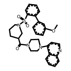 COc1cccc(-c2ccccc2S(=O)(=O)N2CCCC(C(=O)N3CCN(c4ccnc5ccccc45)CC3)C2)c1